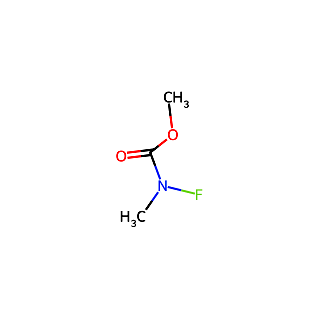 COC(=O)N(C)F